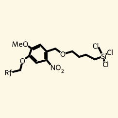 COc1cc(COCCCC[Si](Cl)(Cl)Cl)c([N+](=O)[O-])cc1O[CH2][Rf]